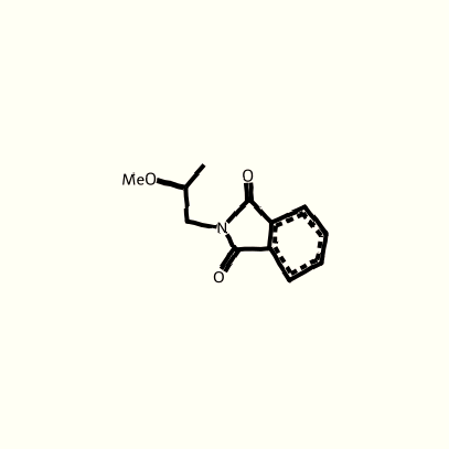 COC(C)CN1C(=O)c2ccccc2C1=O